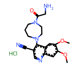 COc1cc2ncc(C#N)c(N3CCCN(C(=O)CN)CC3)c2cc1OC.Cl